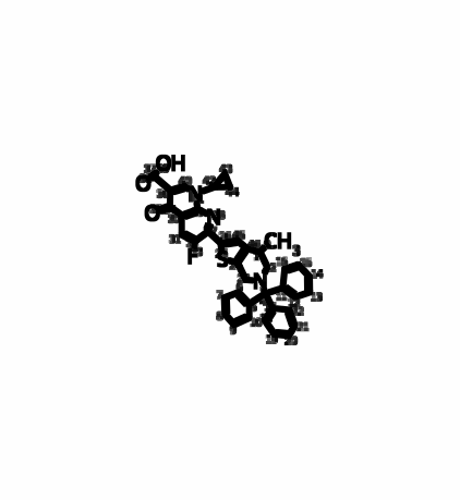 CC1CN(C(c2ccccc2)(c2ccccc2)c2ccccc2)Cc2sc(-c3nc4c(cc3F)c(=O)c(C(=O)O)cn4C3CC3)cc21